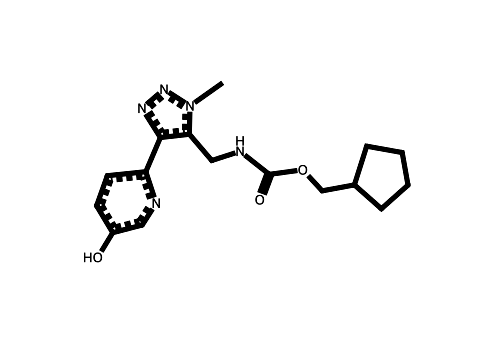 Cn1nnc(-c2ccc(O)cn2)c1CNC(=O)OCC1CCCC1